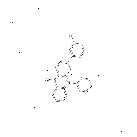 O=c1c2ccccc2n(-c2ccccc2)c2cc(-c3cccc(Cl)c3)ccc12